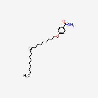 CCCCCCCC/C=C\CCCCCCCCOc1ccc(C(N)=O)cc1